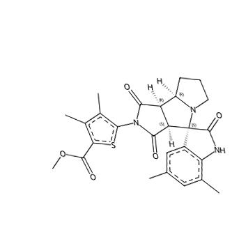 COC(=O)c1sc(N2C(=O)[C@H]3[C@H]4CCCN4[C@@]4(C(=O)Nc5c(C)cc(C)cc54)[C@H]3C2=O)c(C)c1C